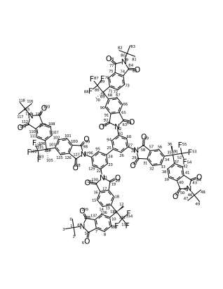 CC(C)(C)N1C(=O)c2ccc([C@](C)(c3ccc4c(c3)C(=O)N(c3cc(-c5cc(N6C(=O)c7ccc([C@@](C)(c8ccc9c(c8)C(=O)N(C(C)(C)C)C9=O)C(F)(F)F)cc7C6=O)cc(N6C(=O)c7ccc([C@](C)(c8ccc9c(c8)C(=O)N(C(C)(C)C)C9=O)C(F)(F)F)cc7C6=O)c5)cc(N5C(=O)c6ccc([C@](C)(c7ccc8c(c7)C(=O)N(C(C)(C)C)C8=O)C(F)(F)F)cc6C5=O)c3)C4=O)C(F)(F)F)cc2C1=O